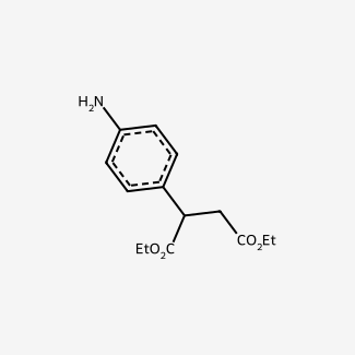 CCOC(=O)CC(C(=O)OCC)c1ccc(N)cc1